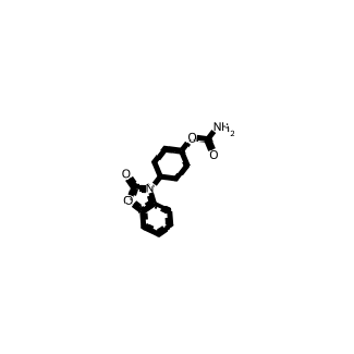 NC(=O)OC1CCC(n2c(=O)oc3ccccc32)CC1